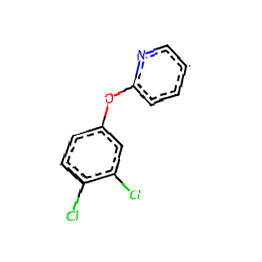 Clc1ccc(Oc2cc[c]cn2)cc1Cl